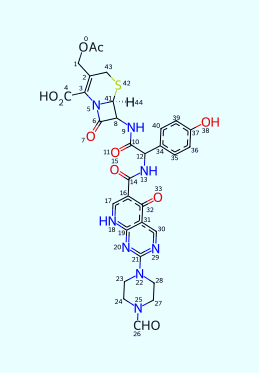 CC(=O)OCC1=C(C(=O)O)N2C(=O)C(NC(=O)C(NC(=O)c3c[nH]c4nc(N5CCN(C=O)CC5)ncc4c3=O)c3ccc(O)cc3)[C@@H]2SC1